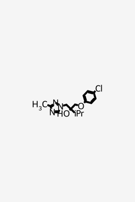 Cc1ncn(CC(O)(COc2ccc(Cl)cc2)C(C)C)n1